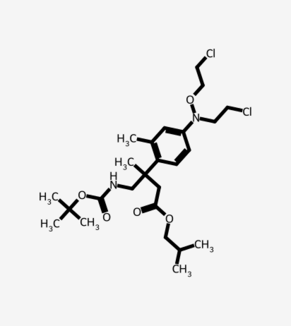 Cc1cc(N(CCCl)OCCCl)ccc1C(C)(CNC(=O)OC(C)(C)C)CC(=O)OCC(C)C